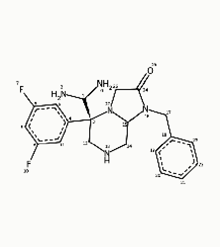 NC(N)[C@]1(c2cc(F)cc(F)c2)CNCC2N(Cc3ccccc3)C(=O)CN21